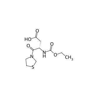 CCOC(=O)N[C@@H](CC(=O)O)C(=O)N1CCSC1